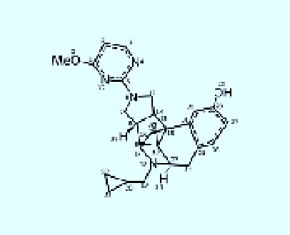 COc1ccnc(N2C[C@H]3C[C@@]45CCC2C3[C@@]42CCN(CC3CC3)[C@@H]5Cc3ccc(O)cc32)n1